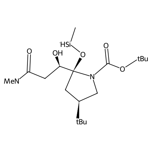 CNC(=O)C[C@@H](O)[C@@]1(O[SiH](C)C)C[C@H](C(C)(C)C)CN1C(=O)OC(C)(C)C